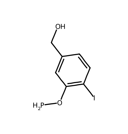 OCc1ccc(I)c(OP)c1